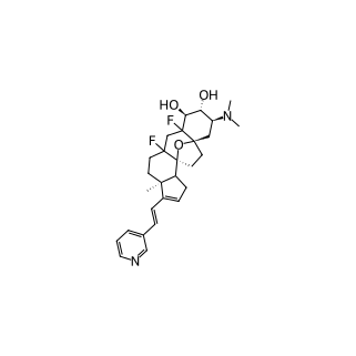 CN(C)[C@H]1C[C@@]23CC[C@]4(O2)C2CC=C(/C=C/c5cccnc5)[C@@]2(C)CCC4(F)CC3(F)[C@@H](O)[C@@H]1O